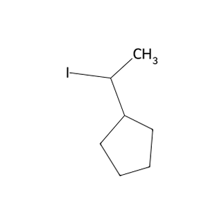 CC(I)C1CCCC1